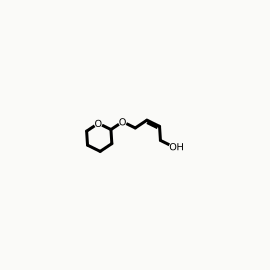 OC/C=C\COC1CCCCO1